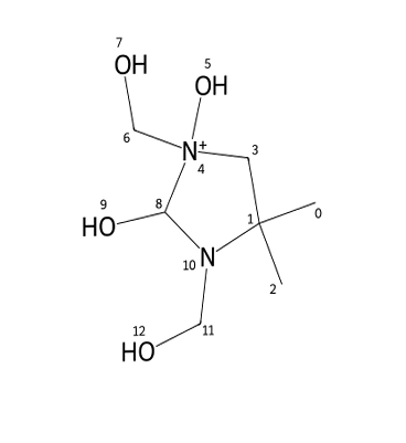 CC1(C)C[N+](O)(CO)C(O)N1CO